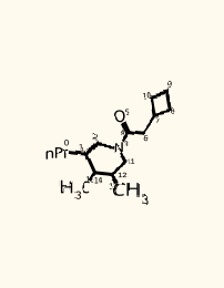 CCCC1CN(C(=O)CC2CCC2)CC(C)C1C